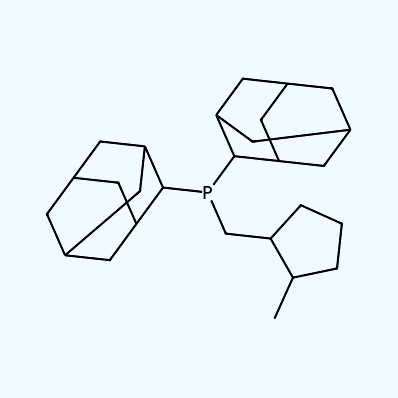 CC1CCCC1CP(C1C2CC3CC(C2)CC1C3)C1C2CC3CC(C2)CC1C3